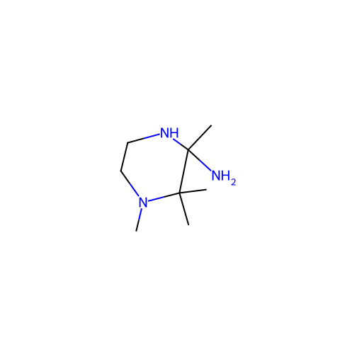 CN1CCNC(C)(N)C1(C)C